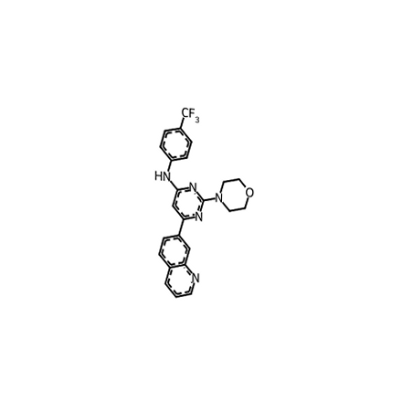 FC(F)(F)c1ccc(Nc2cc(-c3ccc4cccnc4c3)nc(N3CCOCC3)n2)cc1